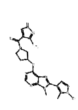 CCn1ncc(-c2nc3c(OC4CCN(C(=O)c5c[nH]nc5C(F)(F)F)C4)ncnc3n2C)c1C